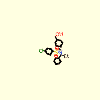 CC[C@@H](c1ccccc1)N(Cc1ccc(CO)cc1)S(=O)(=O)c1ccc(Cl)cc1